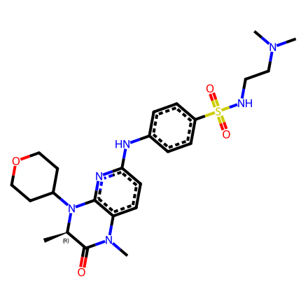 C[C@@H]1C(=O)N(C)c2ccc(Nc3ccc(S(=O)(=O)NCCN(C)C)cc3)nc2N1C1CCOCC1